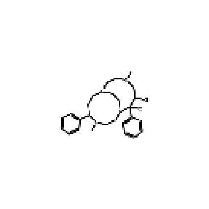 CN1CCN2CCC(c3ccccc3)N(C)CCN(CC2)C(Cl)(c2ccccc2)C(Cl)C1